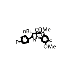 CCCCC1C(c2ccc(F)cc2)=NN(c2ccc(F)c(OC)c2)C1(C)C(=O)OC